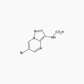 O=C(O)Nc1cnn2cc(Br)cnc12